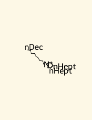 CCCCCCCCCCCCCCCCCCC[n+]1ccc(CCCCCCC)c(CCCCCCC)c1